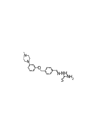 CN1CCN(c2cccc(OCc3ccc(/C=N/NC(N)=S)cc3)c2)CC1